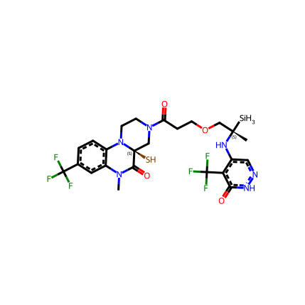 CN1C(=O)[C@@]2(S)CN(C(=O)CCOC[C@](C)([SiH3])Nc3cn[nH]c(=O)c3C(F)(F)F)CCN2c2ccc(C(F)(F)F)cc21